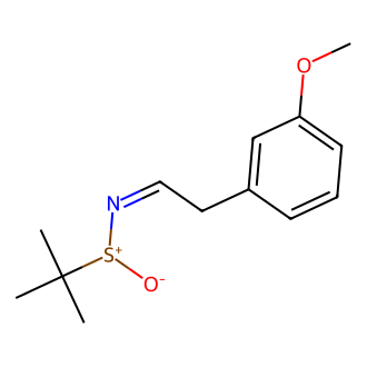 COc1cccc(C/C=N\[S+]([O-])C(C)(C)C)c1